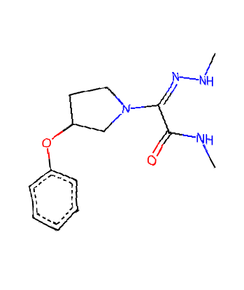 CN/N=C(\C(=O)NC)N1CCC(Oc2ccccc2)C1